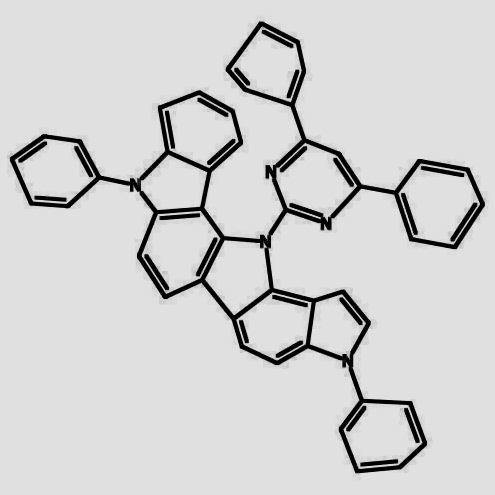 c1ccc(-c2cc(-c3ccccc3)nc(-n3c4c(ccc5c4ccn5-c4ccccc4)c4ccc5c(c6ccccc6n5-c5ccccc5)c43)n2)cc1